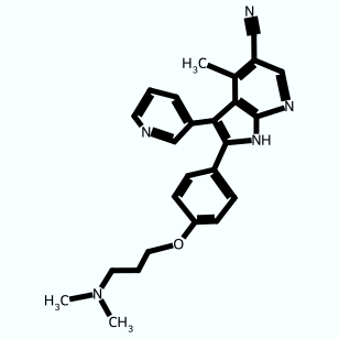 Cc1c(C#N)cnc2[nH]c(-c3ccc(OCCCN(C)C)cc3)c(-c3cccnc3)c12